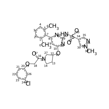 Cc1cccc(C)c1-c1cc(OC2CCN(C(=O)COc3cccc(Cl)c3)C2)nc(NS(=O)(=O)c2cnn(C)c2)n1